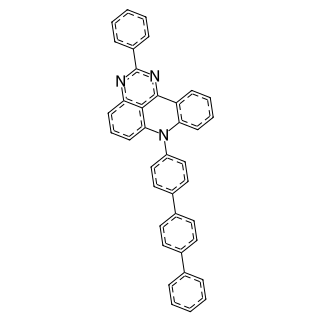 c1ccc(-c2ccc(-c3ccc(N4c5ccccc5-c5nc(-c6ccccc6)nc6cccc4c56)cc3)cc2)cc1